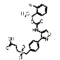 C[C@@H](OC(=O)Nc1conc1-c1ccc(CS(=O)(=O)CCC(=O)O)cc1)c1ccccc1Br